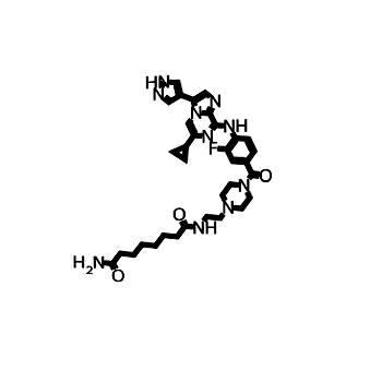 NC(=O)CCCCCCC(=O)NCCN1CCN(C(=O)c2ccc(Nc3nc(C4CC4)cn4c(-c5cn[nH]c5)cnc34)c(F)c2)CC1